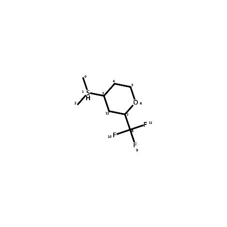 C[SH](C)C1CCOC(C(F)(F)F)C1